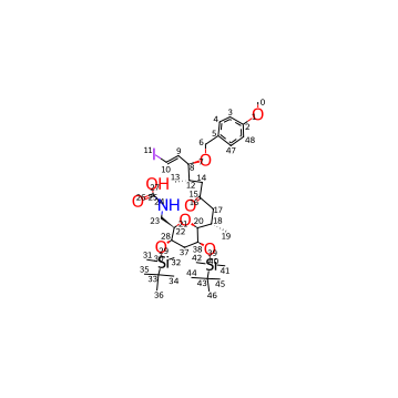 COc1ccc(CO[C@H](/C=C/I)[C@@H](C)CC(=O)C[C@H](C)[C@@H]2O[C@H](CNC(=O)O)[C@H](O[Si](C)(C)C(C)(C)C)C[C@@H]2O[Si](C)(C)C(C)(C)C)cc1